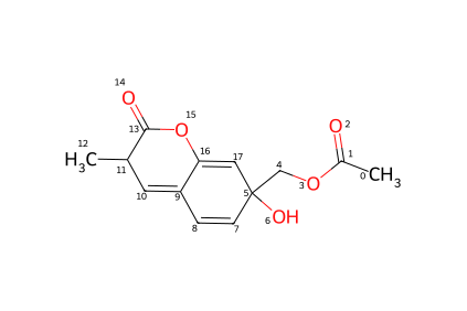 CC(=O)OCC1(O)C=CC2=CC(C)C(=O)OC2=C1